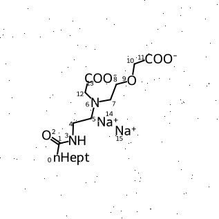 CCCCCCCC(=O)NCCN(CCOCC(=O)[O-])CC(=O)[O-].[Na+].[Na+]